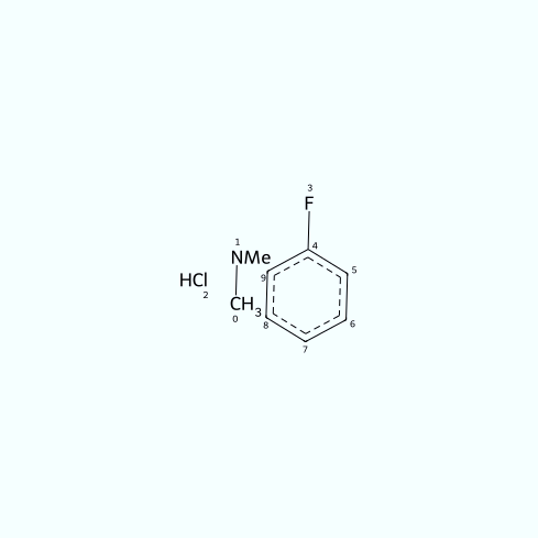 CNC.Cl.Fc1ccccc1